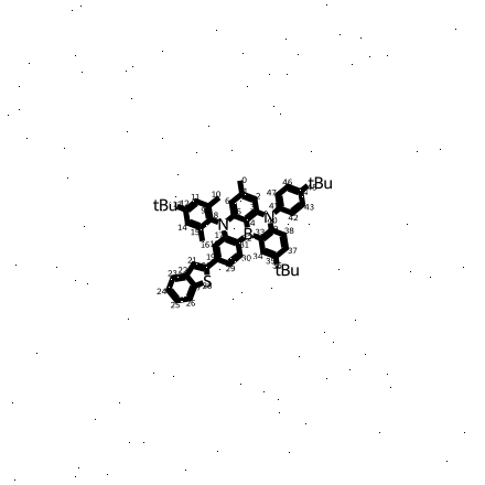 Cc1cc2c3c(c1)N(c1c(C)cc(C(C)(C)C)cc1C)c1cc(-c4cc5ccccc5s4)ccc1B3c1cc(C(C)(C)C)ccc1N2c1ccc(C(C)(C)C)cc1